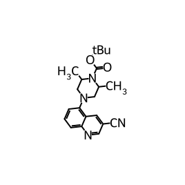 CC1CN(c2cccc3ncc(C#N)cc23)CC(C)N1C(=O)OC(C)(C)C